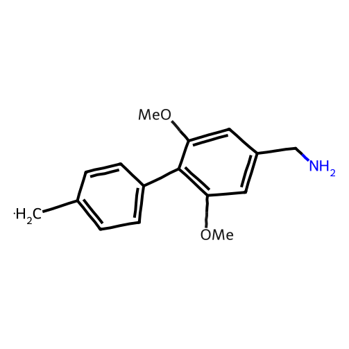 [CH2]c1ccc(-c2c(OC)cc(CN)cc2OC)cc1